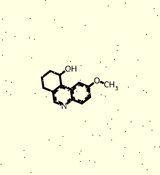 COc1ccc2ncc3c(c2c1)C(O)CCC3